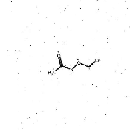 CC(=O)NOCCl